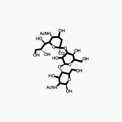 CC(=O)NC1C(O)[C@H](O[C@@H]2OC(CO)[C@H](O)C(O[C@]3(C(=O)O)CC(O)[C@@H](NC(C)=O)C([C@H](O)[C@H](O)CO)O3)C2O)C(CO)O[C@H]1O